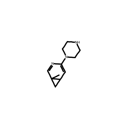 CC12C=NC(N3CCNCC3)=CC1C2